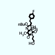 CCCCOC(=N/c1c(C)c(=O)n(CCCO)c(=O)n1C)/C(C)=C\Cc1ccc(F)cc1